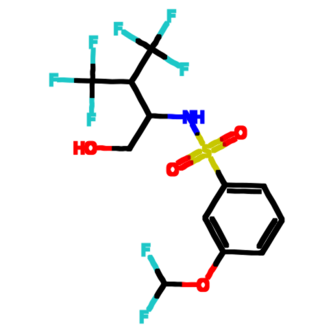 O=S(=O)(NC(CO)C(C(F)(F)F)C(F)(F)F)c1cccc(OC(F)F)c1